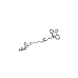 CCCCOC(=O)C(C)(C)CSCCCCCSCCCn1c2ccccc2c(=O)c2ccccc21